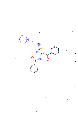 O=C(Nc1nc(NCCN2CCCCC2)sc1C(=O)c1ccccc1)c1ccc(F)cc1